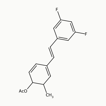 CC(=O)OC1C=CC(/C=C/c2cc(F)cc(F)c2)=CC1C